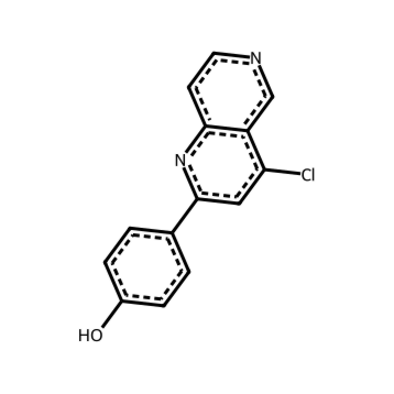 Oc1ccc(-c2cc(Cl)c3cnccc3n2)cc1